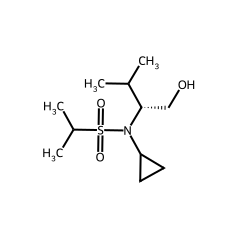 CC(C)[C@H](CO)N(C1CC1)S(=O)(=O)C(C)C